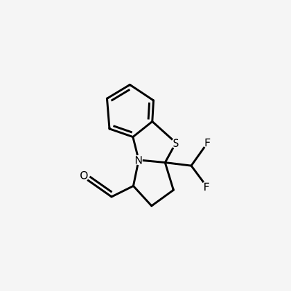 O=CC1CCC2(C(F)F)Sc3ccccc3N12